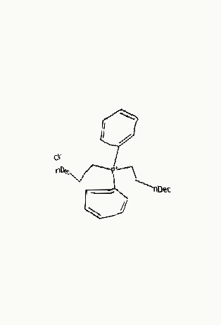 CCCCCCCCCCCC[P+](CCCCCCCCCCCC)(c1ccccc1)c1ccccc1.[Cl-]